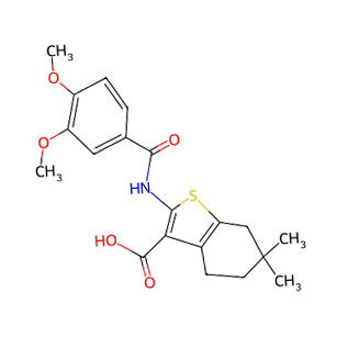 COc1ccc(C(=O)Nc2sc3c(c2C(=O)O)CCC(C)(C)C3)cc1OC